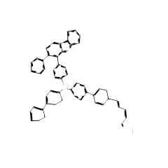 C=C/C=C\C=C\C1C=CC(c2ccc(N(C3=CC=C(C4=CC=CCC4)CC3)c3ccc(-c4c(-c5ccccc5)ccc5c4sc4ccccc45)cc3)cc2)=CC1